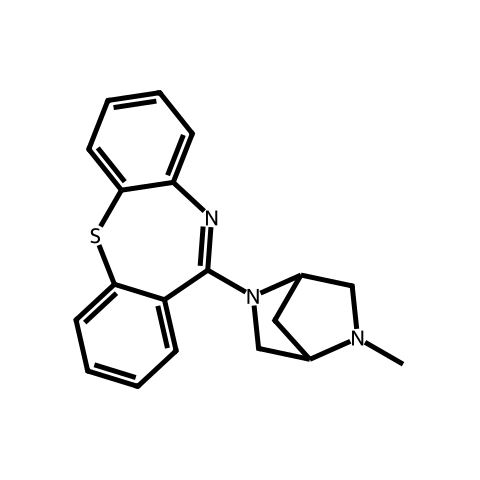 CN1CC2CC1CN2C1=Nc2ccccc2Sc2ccccc21